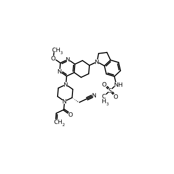 C=CC(=O)N1CCN(c2nc(OC)nc3c2CCC(N2CCc4ccc(NS(C)(=O)=O)cc42)C3)C[C@@H]1CC#N